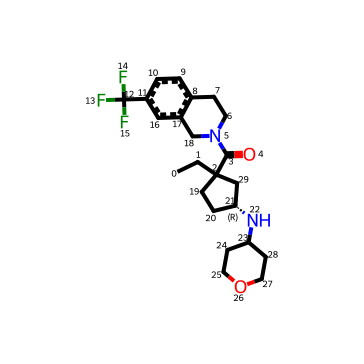 CCC1(C(=O)N2CCc3ccc(C(F)(F)F)cc3C2)CC[C@@H](NC2CCOCC2)C1